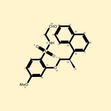 COc1ccc(S(=O)(=O)NCC=O)c(OC[C@H](C)c2cccc3ccccc23)c1